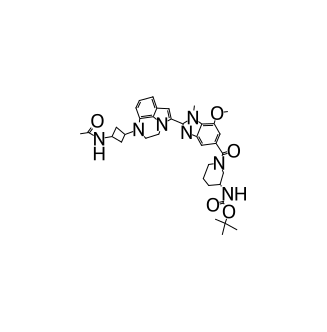 COc1cc(C(=O)N2CCC[C@@H](NC(=O)OC(C)(C)C)C2)cc2nc(-c3cc4cccc5c4n3CCN5C3CC(NC(C)=O)C3)n(C)c12